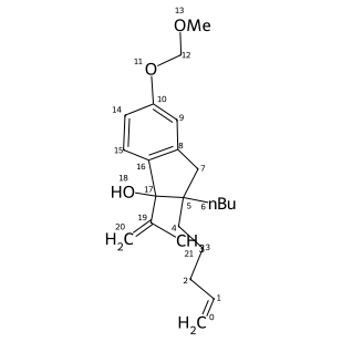 C=CCCCC1(CCCC)Cc2cc(OCOC)ccc2C1(O)C(=C)C